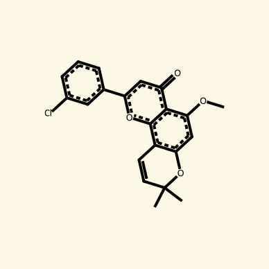 COc1cc2c(c3oc(-c4cccc(Cl)c4)cc(=O)c13)C=CC(C)(C)O2